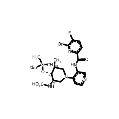 C[C@H]1CN(c2ccncc2NC(=O)c2ccc(F)c(Br)n2)C[C@@H](NC(=O)O)[C@@H]1O[Si](C)(C)C(C)(C)C